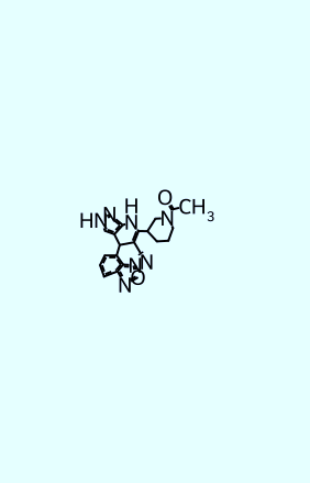 CC(=O)N1CCCC(C2=C(C#N)C(c3cccc4nonc34)c3c[nH]nc3N2)C1